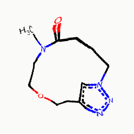 CN1CCOCc2cn(nn2)CCCC1=O